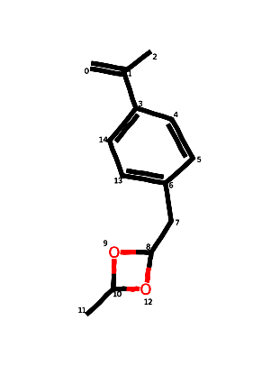 C=C(C)c1ccc(CC2OC(C)O2)cc1